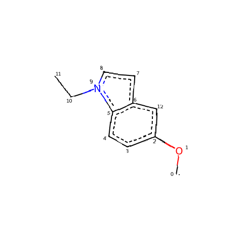 [CH2]Oc1ccc2c(ccn2CC)c1